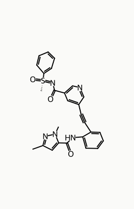 Cc1cc(C(=O)Nc2ccccc2C#Cc2cncc(C(=O)N=[S@@](C)(=O)c3ccccc3)c2)n(C)n1